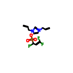 C=CCn1cc[n+](CC=C)c1.O=S(=O)([O-])C(F)C=C(F)F